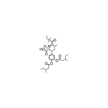 CCC(C)CC(=O)Oc1ccc(C(CC(C)OC(=O)C(C)(C)CC)[C@H](N)C(=O)O)cc1OC(=O)CC(C)CC